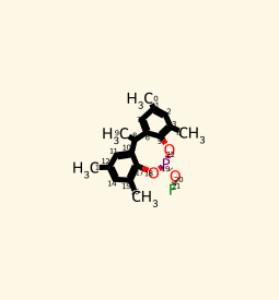 Cc1cc(C)c2c(c1)C(C)c1cc(C)cc(C)c1OP(OF)O2